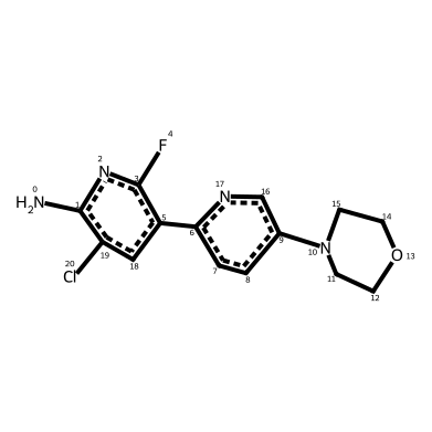 Nc1nc(F)c(-c2ccc(N3CCOCC3)cn2)cc1Cl